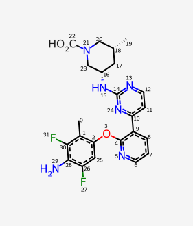 Cc1c(Oc2ncccc2-c2ccnc(N[C@H]3C[C@@H](C)CN(C(=O)O)C3)n2)cc(F)c(N)c1F